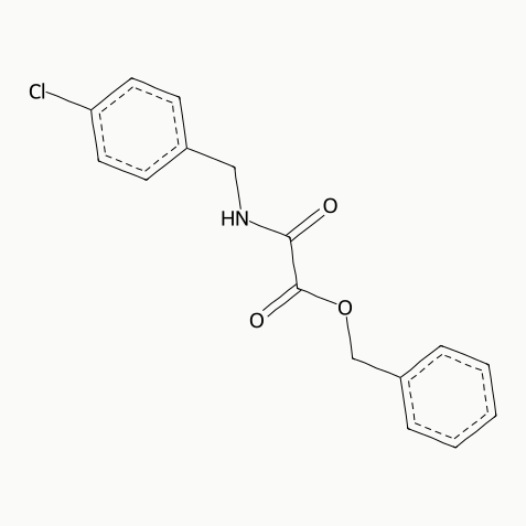 O=C(NCc1ccc(Cl)cc1)C(=O)OCc1ccccc1